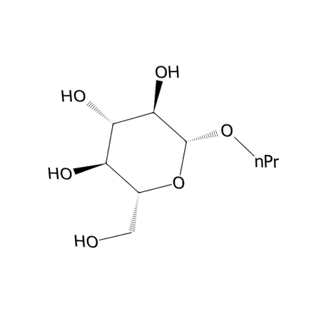 [CH2]CCO[C@@H]1O[C@H](CO)[C@@H](O)[C@H](O)[C@H]1O